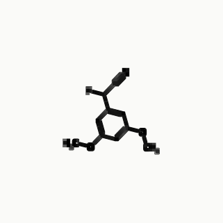 COc1cc(OC)cc(C(F)C#N)c1